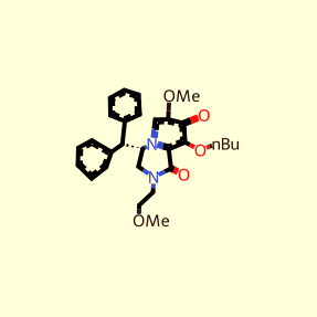 CCCCOc1c2n(cc(OC)c1=O)[C@@H](C(c1ccccc1)c1ccccc1)CN(CCOC)C2=O